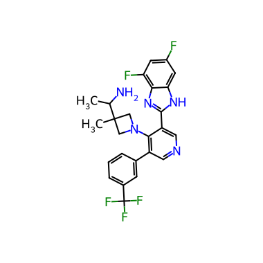 CC(N)C1(C)CN(c2c(-c3cccc(C(F)(F)F)c3)cncc2-c2nc3c(F)cc(F)cc3[nH]2)C1